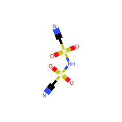 N#CS(=O)(=O)NS(=O)(=O)C#N